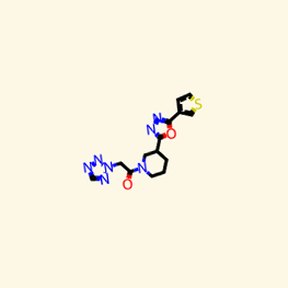 O=C(Cn1ncnn1)N1CCCC(c2nnc(-c3ccsc3)o2)C1